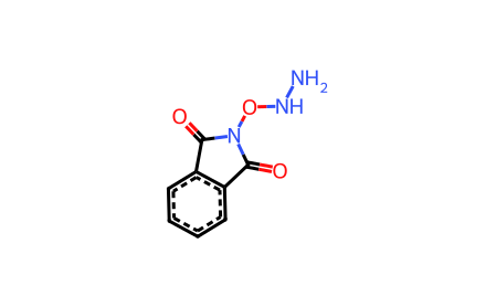 NNON1C(=O)c2ccccc2C1=O